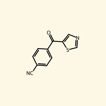 N#Cc1ccc(C(=O)c2cncs2)cc1